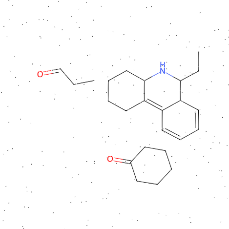 CCC1NC2CCCCC2=C2C=CC=CC21.CCC=O.O=C1CCCCC1